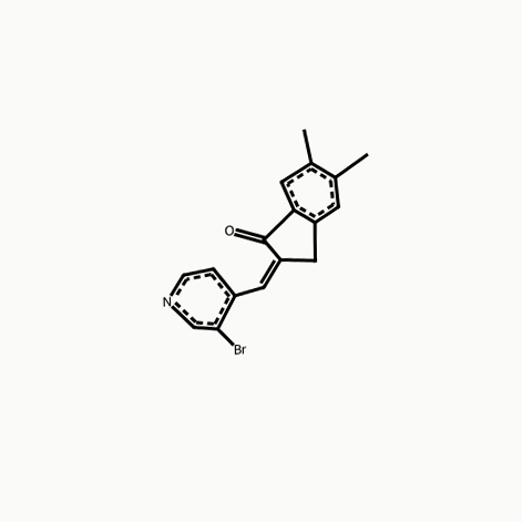 Cc1cc2c(cc1C)C(=O)C(=Cc1ccncc1Br)C2